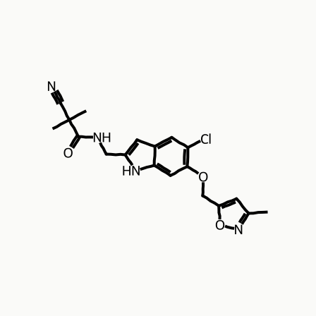 Cc1cc(COc2cc3[nH]c(CNC(=O)C(C)(C)C#N)cc3cc2Cl)on1